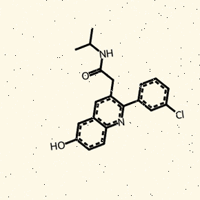 CC(C)NC(=O)Cc1cc2cc(O)ccc2nc1-c1cccc(Cl)c1